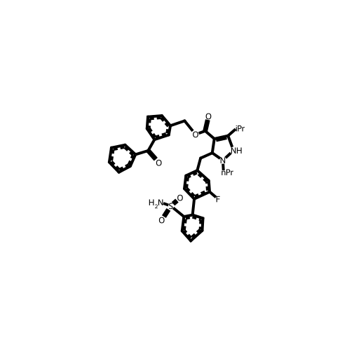 CCCN1NC(C(C)C)=C(C(=O)OCc2cccc(C(=O)c3ccccc3)c2)C1Cc1ccc(-c2ccccc2S(N)(=O)=O)c(F)c1